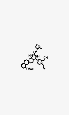 C=CCN1CCN(C2NC(OCC3CCCN3C)NC3CC4(CCc5cccc(OC)c5C4)CCC32)CC1CC#N